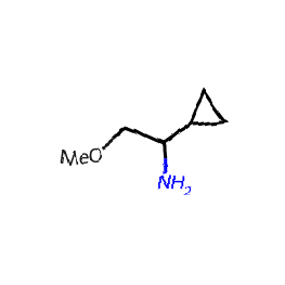 COCC(N)C1CC1